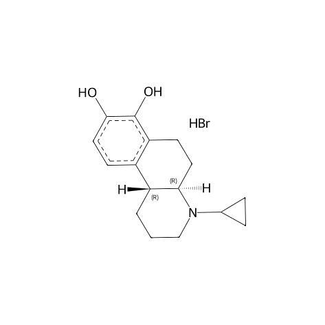 Br.Oc1ccc2c(c1O)CC[C@@H]1[C@@H]2CCCN1C1CC1